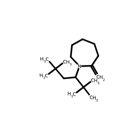 C=C1CCCCCN1C(CC(C)(C)C)C(C)(C)C